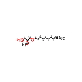 CCCCCCCCCCCCCCCCCCOCC(CO)OCC